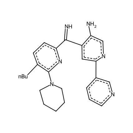 CCCCc1ccc(C(=N)c2cc(-c3cccnc3)ncc2N)nc1N1CCCCC1